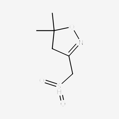 CC1(C)CC(C[SH](=O)=O)=NO1